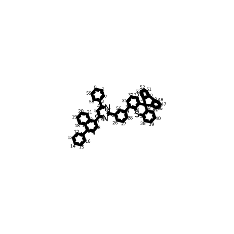 c1ccc(-c2cc(-c3ccc(-c4ccccc4)c4ccccc34)nc(-c3cccc(-c4cccc5c4Sc4ccccc4C54c5ccccc5-c5ccccc54)c3)n2)cc1